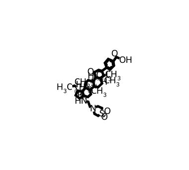 C=C(C)[C@@H]1CC[C@]2(NCCN3CCS(=O)(=O)CC3)CC[C@]3(C)[C@H](CC[C@@H]4[C@@]5(C)C(=O)C=C(c6ccc(C(=O)O)cc6)C(C)(C)[C@@H]5CC[C@]43C)[C@@H]12